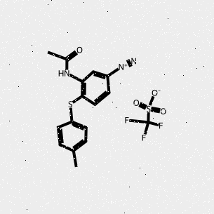 CC(=O)Nc1cc([N+]#N)ccc1Sc1ccc(C)cc1.O=S(=O)([O-])C(F)(F)F